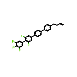 C=CCCc1ccc(-c2ccc(-c3cc(F)c(-c4cc(F)c(F)c(F)c4)c(F)c3)cc2)cc1